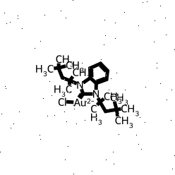 CC(C)(C)CC(C)(C)n1[c](=[Au-2][Cl])n(C(C)(C)CC(C)(C)C)c2ccccc21